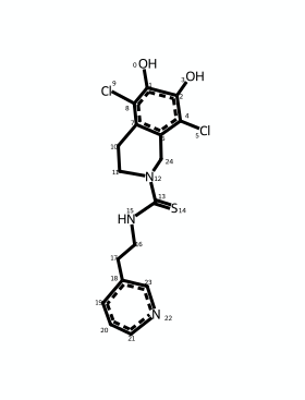 Oc1c(O)c(Cl)c2c(c1Cl)CCN(C(=S)NCCc1cccnc1)C2